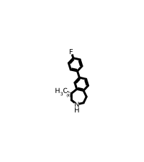 C[C@H]1CNCCc2ccc(-c3ccc(F)cc3)cc21